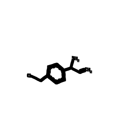 C=CC(N)c1ccc(CCl)cc1